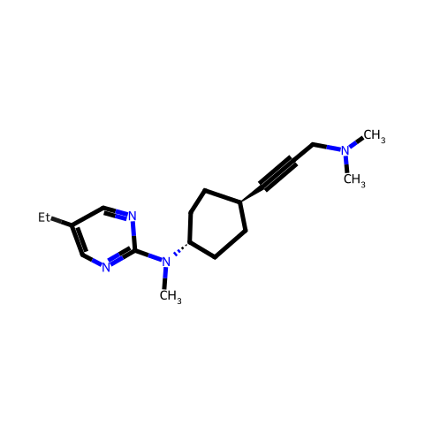 CCc1cnc(N(C)[C@H]2CC[C@H](C#CCN(C)C)CC2)nc1